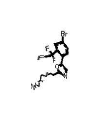 [N-]=[N+]=NCc1ncc(-c2ccc(Br)cc2C(F)(F)F)o1